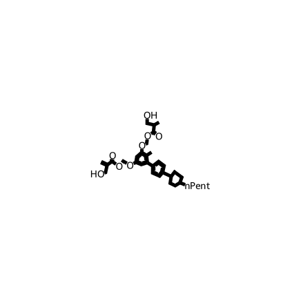 C=C(CO)C(=O)OCOc1cc(OCOC(=O)C(C)CO)c(C)c(-c2ccc(C3CCC(CCCCC)CC3)cc2)c1